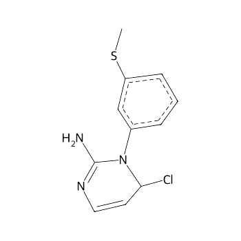 CSc1cccc(N2C(N)=NC=CC2Cl)c1